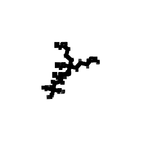 CCCCC(C)(CCCC)O[SiH2]CCC(F)(F)F